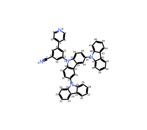 N#Cc1cc(-c2ccncc2)cc(-n2c3ccc(-n4c5ccccc5c5ccccc54)cc3c3cc(-n4c5ccccc5c5ccccc54)ccc32)c1